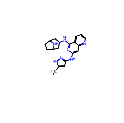 Cc1cc(Nc2cc3ncccc3c(NC3CC4CCC(C3)N4)n2)n[nH]1